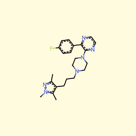 Cc1nn(C)c(C)c1CCCN1CCN(c2nccnc2-c2ccc(F)cc2)CC1